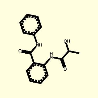 CC(O)C(=O)Nc1ccccc1C(=O)Nc1ccccc1